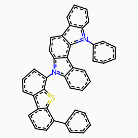 c1ccc(-c2cccc3c2sc2c(-n4c5ccccc5c5c4ccc4c6ccccc6n(-c6ccccc6)c45)cccc23)cc1